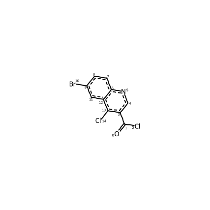 O=C(Cl)c1cnc2ccc(Br)cc2c1Cl